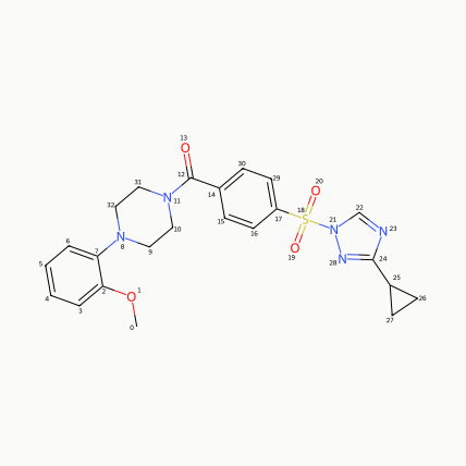 COc1ccccc1N1CCN(C(=O)c2ccc(S(=O)(=O)n3cnc(C4CC4)n3)cc2)CC1